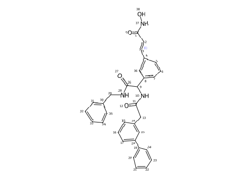 O=C(/C=C/c1cccc(C(NC(=O)Cc2cccc(-c3ccccc3)c2)C(=O)NCc2ccccc2)c1)NO